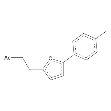 CC(=O)CCc1ccc(-c2ccc(C)cc2)o1